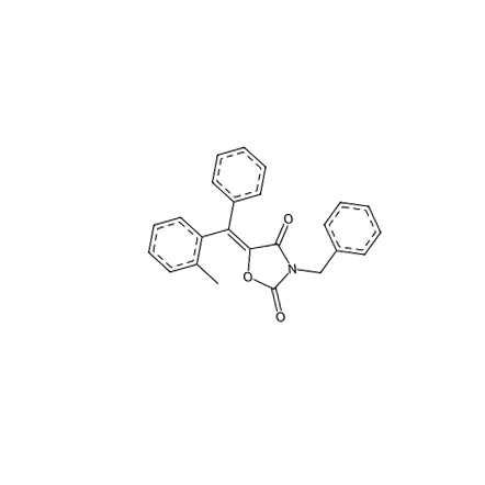 Cc1ccccc1C(=C1OC(=O)N(Cc2ccccc2)C1=O)c1ccccc1